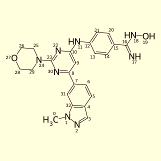 Cn1ncc2ccc(-c3cc(Nc4ccc(C(=N)NO)cc4)nc(N4CCOCC4)n3)cc21